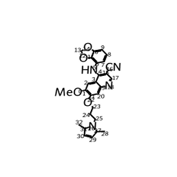 COc1cc2c(Nc3cccc4c3OCO4)c(C#N)cnc2cc1OCCCN1C(C)C=CC1C